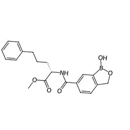 COC(=O)[C@H](CCCc1ccccc1)NC(=O)c1ccc2c(c1)B(O)OC2